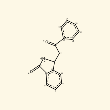 O=C(CC1NC(=O)c2ccccc21)c1ccccc1